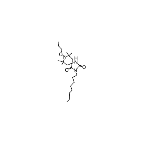 CCCCCCCCN1C(=O)NC2(CC(C)(C)N(OCCC)C(C)(C)C2)C1=O